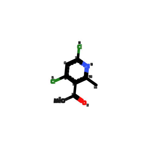 COC(=O)c1c(Cl)cc(Cl)nc1C